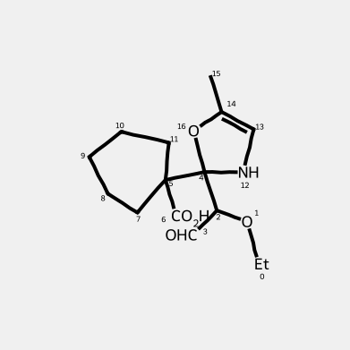 CCOC(C=O)C1(C2(C(=O)O)CCCCC2)NC=C(C)O1